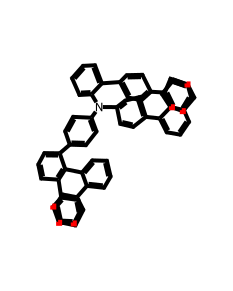 c1ccc(-c2ccc(-c3ccccc3N(c3ccc(-c4cccc(-c5ccccc5)c4-c4ccccc4-c4ccccc4)cc3)c3ccc(-c4cccc5ccccc45)cc3)cc2)cc1